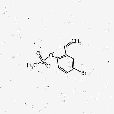 C=Cc1cc(Br)ccc1OS(C)(=O)=O